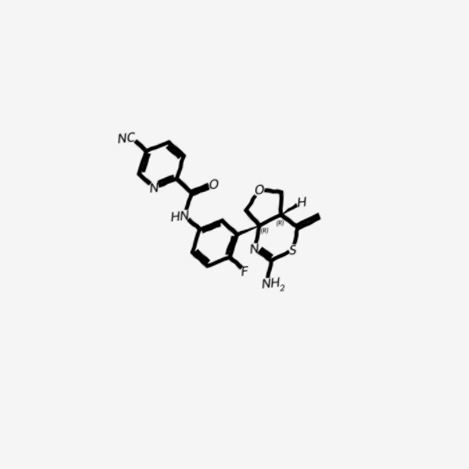 C=C1SC(N)=N[C@]2(c3cc(NC(=O)c4ccc(C#N)cn4)ccc3F)COC[C@H]12